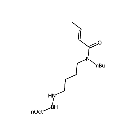 C/C=C/C(=O)N(CCCC)CCCCNBCCCCCCCC